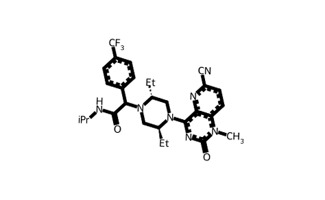 CC[C@H]1CN(C(C(=O)NC(C)C)c2ccc(C(F)(F)F)cc2)[C@H](CC)CN1c1nc(=O)n(C)c2ccc(C#N)nc12